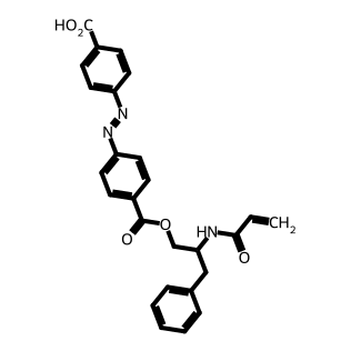 C=CC(=O)NC(COC(=O)c1ccc(N=Nc2ccc(C(=O)O)cc2)cc1)Cc1ccccc1